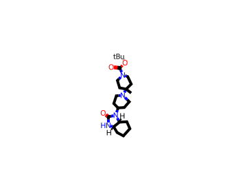 CC(C)(C)OC(=O)N1CCC(C)(N2CCC(N3C(=O)N[C@H]4CCCC[C@H]43)CC2)CC1